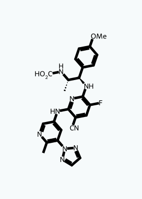 COc1ccc([C@@H](Nc2nc(Nc3cnc(C)c(-n4nccn4)c3)c(C#N)cc2F)[C@H](C)NC(=O)O)cc1